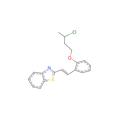 CC(Cl)CCOc1ccccc1/C=C/c1nc2ccccc2s1